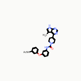 CC(=O)Nc1cccc(Oc2cccc(NC(=O)N3CC=C(c4ncnc5[nH]cc(C)c45)CC3)c2)c1